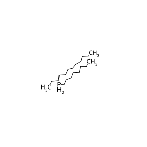 CCCCCCCCCCCC.CCCCCCCCP